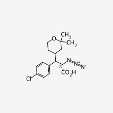 CC1(C)CC(C(c2ccc(Cl)cc2)[C@H](N=[N+]=[N-])C(=O)O)CCO1